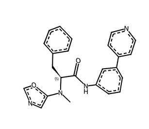 CN(c1cnco1)[C@@H](Cc1ccccc1)C(=O)Nc1cccc(-c2ccncc2)c1